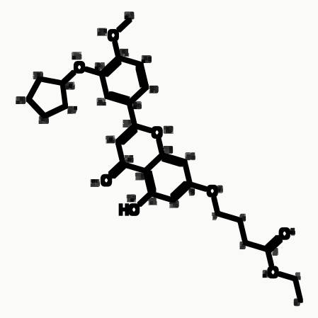 CCOC(=O)CCCOc1cc(O)c2c(=O)cc(-c3ccc(OC)c(OC4CCCC4)c3)oc2c1